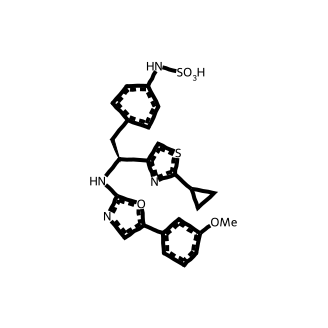 COc1cccc(-c2cnc(N[C@@H](Cc3ccc(NS(=O)(=O)O)cc3)c3csc(C4CC4)n3)o2)c1